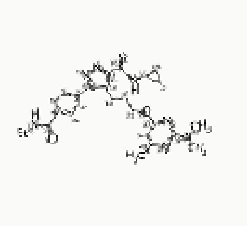 CCNC(=O)c1ccc(-n2nnc(C(=O)NC3CC3)c2CCCOc2cc(C)nc(N(C)C)n2)cc1